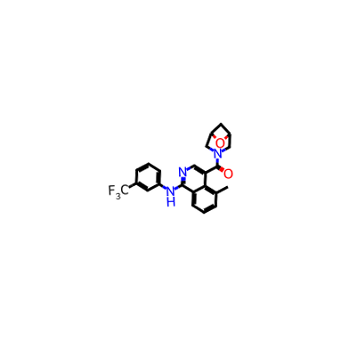 Cc1cccc2c(Nc3cccc(C(F)(F)F)c3)ncc(C(=O)N3CC4CC(C3)O4)c12